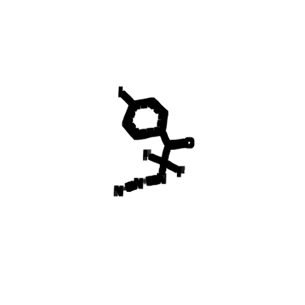 [N-]=[N+]=NC(F)(F)C(=O)c1ccc(I)cc1